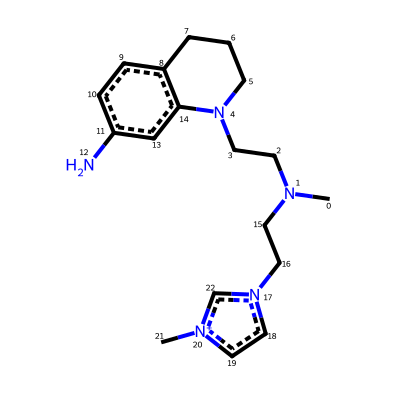 CN(CCN1CCCc2ccc(N)cc21)CCn1cc[n+](C)c1